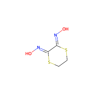 ON=C1SCCSC1=NO